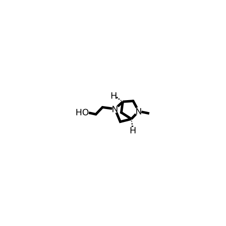 CN1C[C@H]2C[C@@H]1CN2CCO